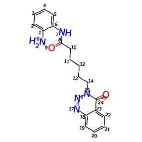 Nc1ccccc1NC(=O)CCCCCn1nnc2ccccc2c1=O